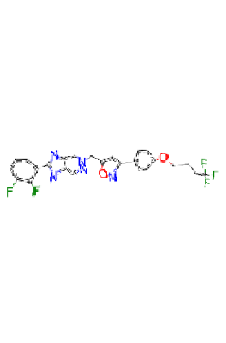 Fc1cccc(-c2nc3cnn(Cc4cc(-c5ccc(OCCCC(F)(F)F)cc5)no4)cc-3n2)c1F